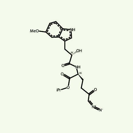 COc1ccc2[nH]cc(C[C@H](O)C(=O)N[C@@H](CCC(=O)C=[N+]=[N-])C(=O)OC(C)C)c2c1